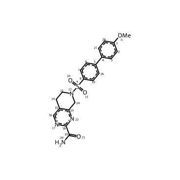 COc1ccc(-c2ccc(S(=O)(=O)N3CCc4[c]nc(C(N)=O)nc4C3)cc2)cc1